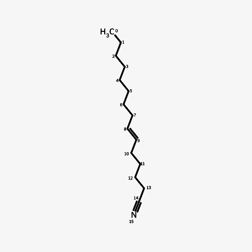 CCCCCCCCC=CCCCCC#N